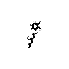 CCCC(=O)CCOc1cccc(C)c1C